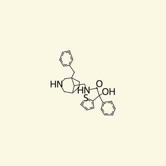 O=C(NCC1C2CCC1(Cc1ccccc1)CNC2)C(O)(c1ccccc1)c1cccs1